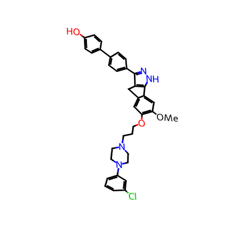 COc1cc2c(cc1OCCCN1CCN(c3cccc(Cl)c3)CC1)Cc1c(-c3ccc(-c4ccc(O)cc4)cc3)n[nH]c1-2